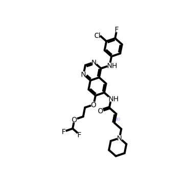 O=C(/C=C/CN1CCCCC1)Nc1cc2c(Nc3ccc(F)c(Cl)c3)ncnc2cc1OCCOC(F)F